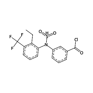 CCc1c(N(c2cccc(C(=O)Cl)c2)[SH](=O)=O)cccc1C(F)(F)F